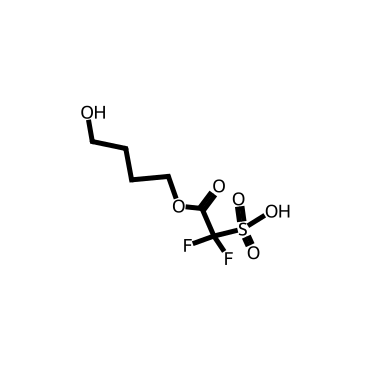 O=C(OCCCCO)C(F)(F)S(=O)(=O)O